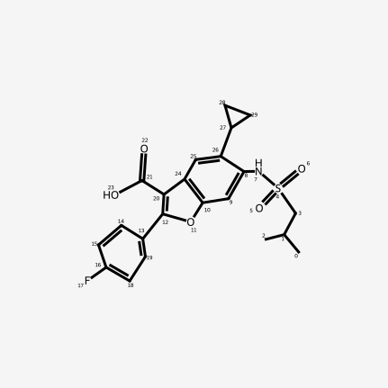 CC(C)CS(=O)(=O)Nc1cc2oc(-c3ccc(F)cc3)c(C(=O)O)c2cc1C1CC1